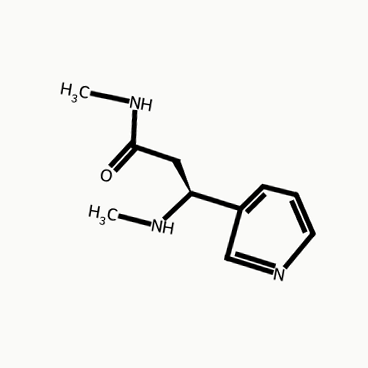 CNC(=O)C[C@H](NC)c1cccnc1